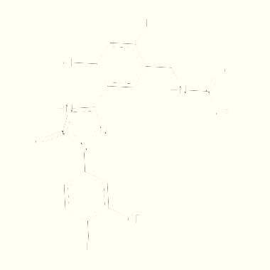 O=C(NCc1cc(-c2nn(-c3ccc(F)c(C(F)(F)F)c3)c(=O)[nH]2)c(Cl)cc1F)C(F)(F)F